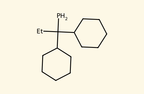 CCC(P)(C1CCCCC1)C1CCCCC1